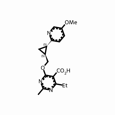 CCc1nc(C)nc(OC[C@H]2C[C@@H]2c2ccc(OC)cn2)c1C(=O)O